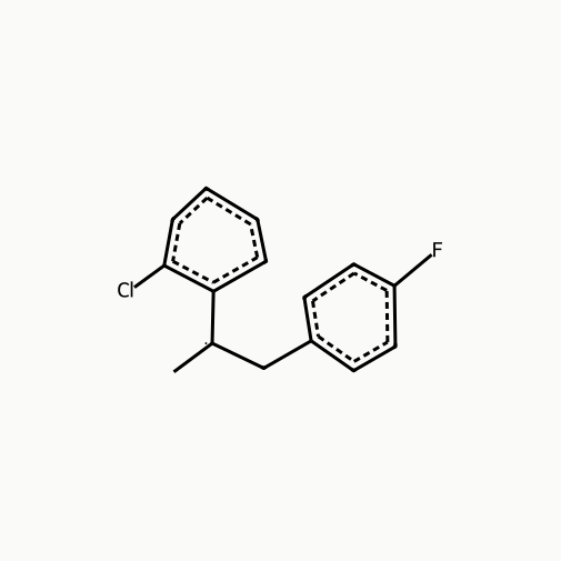 C[C](Cc1ccc(F)cc1)c1ccccc1Cl